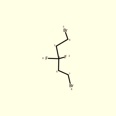 FC(F)(CCBr)CCBr